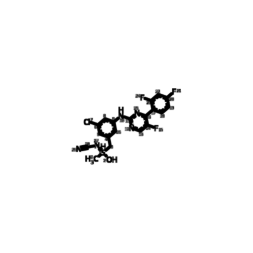 C[SH](O)(Cc1cc(Cl)cc(Nc2ncc(F)c(-c3ccc(F)cc3F)n2)c1)=NC#N